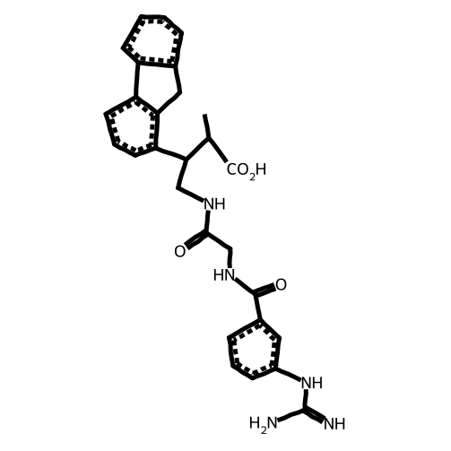 CC(C(=O)O)C(CNC(=O)CNC(=O)c1cccc(NC(=N)N)c1)c1cccc2c1Cc1ccccc1-2